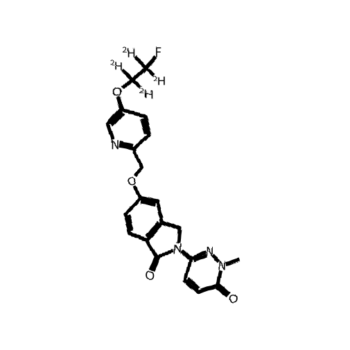 [2H]C([2H])(F)C([2H])([2H])Oc1ccc(COc2ccc3c(c2)CN(c2ccc(=O)n(C)n2)C3=O)nc1